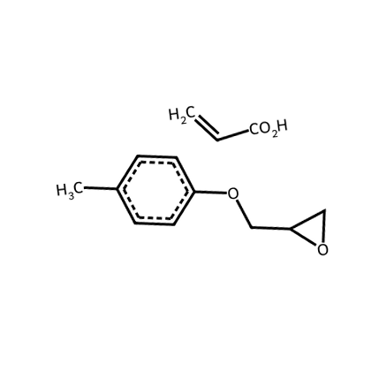 C=CC(=O)O.Cc1ccc(OCC2CO2)cc1